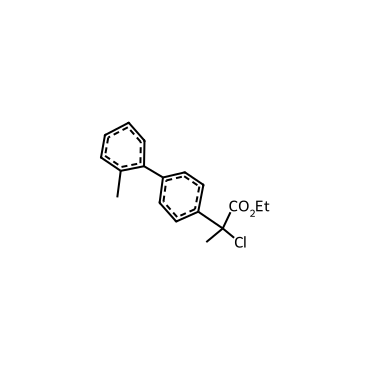 CCOC(=O)C(C)(Cl)c1ccc(-c2ccccc2C)cc1